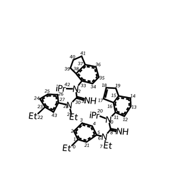 CCc1cccc(N(CC)C(=N)N(c2cccc3c2C=CC3)C(C)C)c1.CCc1cccc(N(CC)C(=N)N(c2cccc3c2CCC3)C(C)C)c1